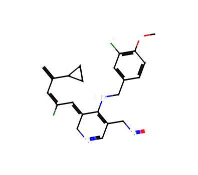 C=C(/C=C(F)\C=C1/CN=CC(CN=O)=C1NCc1ccc(OC)c(Cl)c1)C1CC1